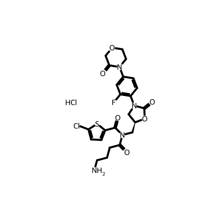 Cl.NCCCC(=O)N(C[C@H]1CN(c2ccc(N3CCOCC3=O)cc2F)C(=O)O1)C(=O)c1ccc(Cl)s1